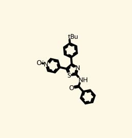 CC(C)(C)c1ccc(-c2nc(NC(=O)c3ccccc3)sc2-c2cc[n+]([O-])cc2)cc1